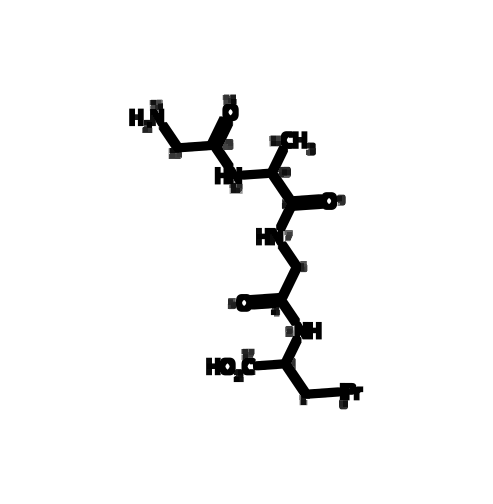 CC(C)CC(NC(=O)CNC(=O)C(C)NC(=O)CN)C(=O)O